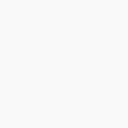 Cc1ccc2oc(N3CCCC4(CNC(=O)C4)C3)cc(=O)c2c1